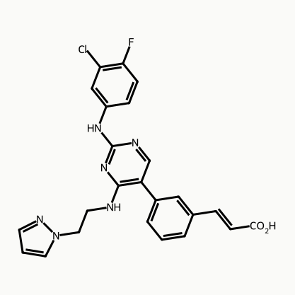 O=C(O)C=Cc1cccc(-c2cnc(Nc3ccc(F)c(Cl)c3)nc2NCCn2cccn2)c1